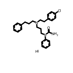 I.NC(=O)N(CCCN(CCCc1ccccc1)CCc1ccc(Cl)cc1)c1ccccc1